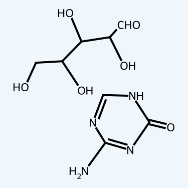 Nc1nc[nH]c(=O)n1.O=CC(O)C(O)C(O)CO